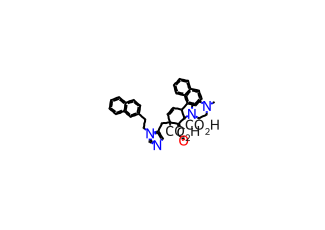 CN1CCN(C2(C(=O)O)C(=C=O)C(Cc3cncn3CCc3ccc4ccccc4c3)(C(=O)O)C=CC2c2cccc3ccccc23)CC1